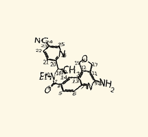 CCN(C(=O)c1ccc2nc(N)c3c(c2c1)COC3)[C@H](C)c1ccc(C#N)cn1